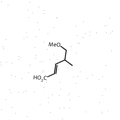 COCC(C)C=CC(=O)O